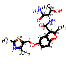 Cc1nc(C)c(COc2ccc3oc(C)c(C(=O)N[C@H](C(N)=O)[C@@H](C)O)c3c2)s1